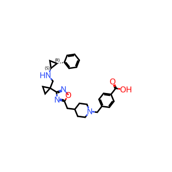 O=C(O)c1ccc(CN2CCC(Cc3nc(C4(CN[C@H]5C[C@@H]5c5ccccc5)CC4)no3)CC2)cc1